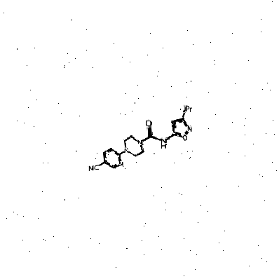 CC(C)c1cc(NC(=O)N2CCN(c3ccc(C#N)cn3)CC2)on1